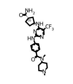 CN1CCC(N(C)C(=O)c2ccc(Nc3ncc(C(F)(F)F)c(N[C@@H]4CC[C@H](C(N)=O)C4)n3)cc2)CC1